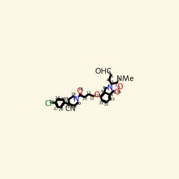 CNC(=O)C(CCC=O)N1Cc2c(OCCCC(=O)N3CCC(C#N)(c4ccc(Cl)cc4)CC3)cccc2C1=O